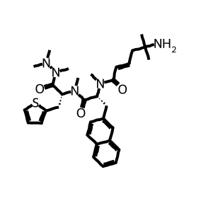 CN(C(=O)C=CCC(C)(C)N)[C@H](Cc1ccc2ccccc2c1)C(=O)N(C)[C@H](Cc1cccs1)C(=O)N(C)N(C)C